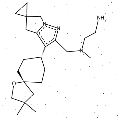 CN(CCN)Cc1nn2c(c1[C@H]1CC[C@@]3(CC1)CC(C)(C)CO3)CC1(CC1)C2